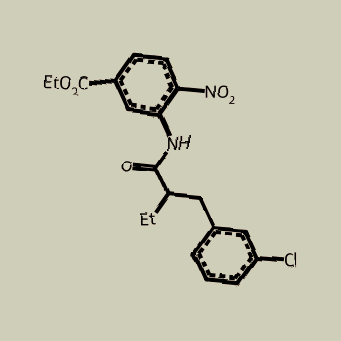 CCOC(=O)c1ccc([N+](=O)[O-])c(NC(=O)C(CC)Cc2cccc(Cl)c2)c1